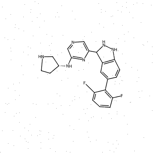 Fc1cccc(F)c1-c1ccc2c(c1)C(c1cncc(N[C@@H]3CCNC3)n1)NN2